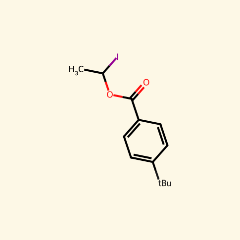 CC(I)OC(=O)c1ccc(C(C)(C)C)cc1